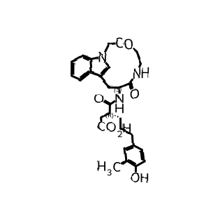 Cc1cc(CCC[C@H](CC(=O)O)C(=O)N[C@H]2Cc3cn(c4ccccc34)CCOCCNC2=O)ccc1O